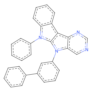 c1ccc(-c2cccc(-n3c4cncnc4c4c5ccccc5n(-c5ccccc5)c43)c2)cc1